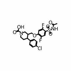 CC(=O)NS(=O)(=O)c1cc(F)c(OCC2CN(C(=O)O)CCC2c2ccc(Cl)cc2)cc1F